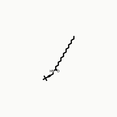 CCCCCCCCCCCCCCCC(=O)NCC#CC(C)(C)C